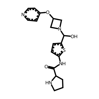 O=C(Nc1ccc(C(O)N2CC(Oc3ccncc3)C2)s1)C1CCCN1